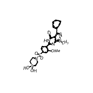 COc1cc(S(=O)(=O)N2CCS(O)(O)CC2)ccc1-c1nc2c(c(-c3ccccc3)nn2C)c(=O)[nH]1